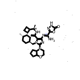 C=C(N[C@H](C)C1CCC1)c1c(/N=C(\N)c2n[nH]c(=O)o2)nc(N2CCOC3CCCC32)n1C[C@H]1CC[C@H](C)CC1